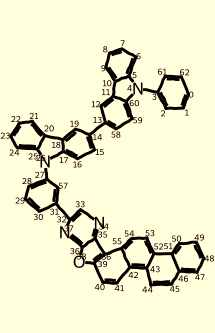 c1ccc(-n2c3ccccc3c3cc(-c4ccc5c(c4)c4ccccc4n5-c4cccc(-c5cnc6c(n5)oc5ccc7c8ccc9ccccc9c8ccc7c56)c4)ccc32)cc1